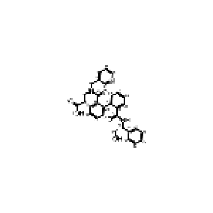 O=C(O)CCN(Cc1cccnc1)C(=O)c1ccccc1-c1ccccc1C(=O)N[C@@H](CO)c1ccccc1